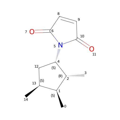 C[C@@H]1[C@@H](C)[C@@H](N2C(=O)C=CC2=O)C[C@@H]1C